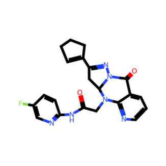 O=C(CN1c2ncccc2C(=O)N2N=C(C3=CCCC3)CC21)Nc1ccc(F)cn1